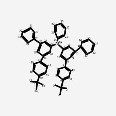 CC(C)(C)c1ccc(-c2cc(-c3ccccc3)cc(N(c3ccccc3)c3cc(-c4ccccc4)cc(-c4ccc(C(C)(C)C)cc4)c3)c2)cc1